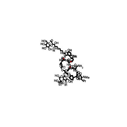 CC[C@@H](O)[C@]1(N)C[C@@H](O)OC2C(O1)[C@@H](O)[C@@H](CO)O[C@@H]2Oc1c2cc3cc1Oc1ccc(cc1Cl)[C@@H](O)[C@@H](NC(=O)[C@@H](CC(C)C)NC)C(=O)N[C@@H](CC(N)=O)C(=O)N[C@H]3C(=O)N[C@H]1C(=O)N[C@H](C(=O)N[C@H](C(=O)NCCCNCC(O)C(O)C(OC3OC(CO)C(O)C(O)C3O)C3CO3)c3cc(O)cc(O)c3-c3cc1ccc3O)[C@H](O)c1ccc(c(Cl)c1)O2